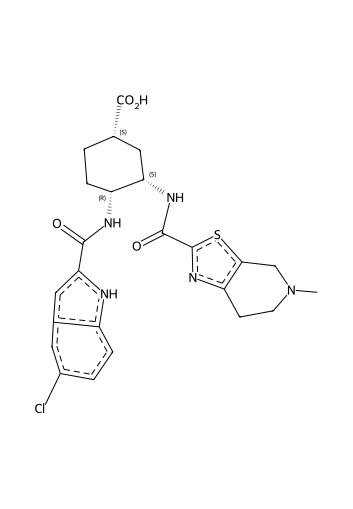 CN1CCc2nc(C(=O)N[C@H]3C[C@@H](C(=O)O)CC[C@H]3NC(=O)c3cc4cc(Cl)ccc4[nH]3)sc2C1